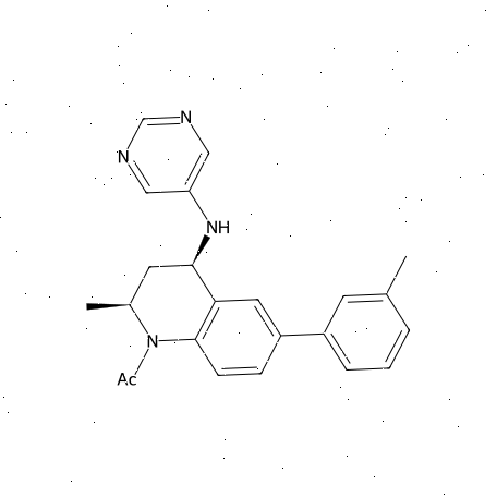 CC(=O)N1c2ccc(-c3cccc(C)c3)cc2[C@H](Nc2cncnc2)C[C@@H]1C